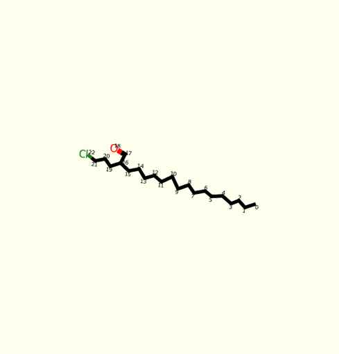 CCCCCCCCCCCCCCCCC(C=O)CCCCl